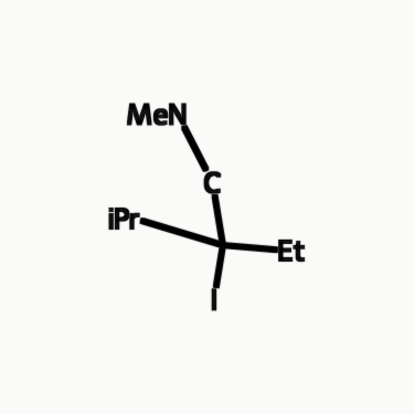 CCC(I)(CNC)C(C)C